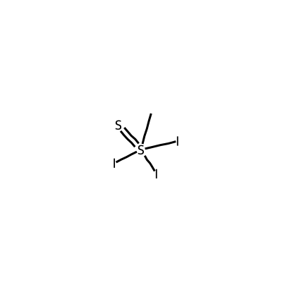 CS(=S)(I)(I)I